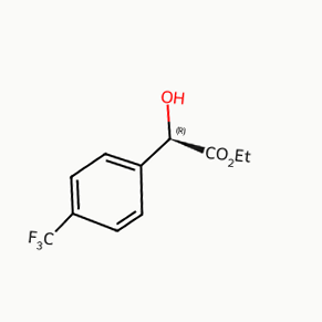 CCOC(=O)[C@H](O)c1ccc(C(F)(F)F)cc1